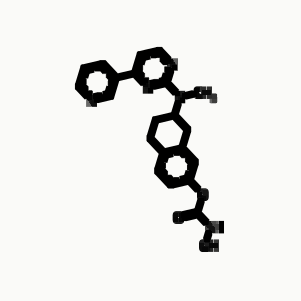 CN(c1nccc(-c2cccnc2)n1)C1CCc2ccc(OC(=O)NO)cc2C1